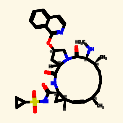 C[C@@H]1CCC[C@@H](C)C=C[C@@H]2C[C@@]2(C(=O)NS(=O)(=O)C2CC2)NC(=O)[C@@H]2C[C@@H](Oc3nccc4ccccc34)CN2C(=O)[C@H]1NC(=O)O